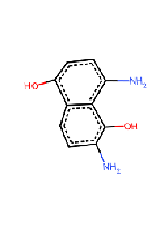 Nc1ccc2c(O)ccc(N)c2c1O